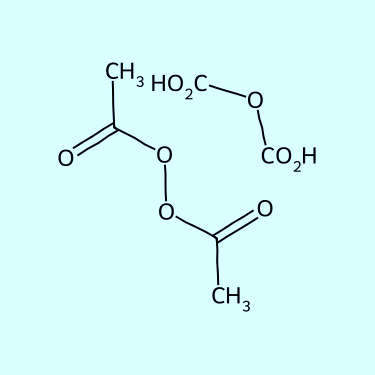 CC(=O)OOC(C)=O.O=C(O)OC(=O)O